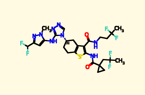 Cn1nc(C(F)F)cc1Nc1nncn1[C@H]1CCc2sc(NC(=O)C3(CC(C)(F)F)CC3)c(C(=O)NCCC(C)(F)F)c2C1